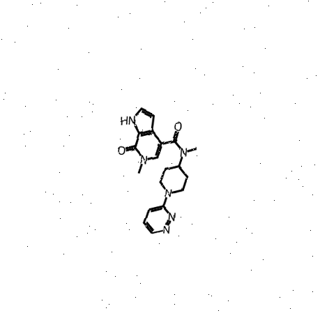 CN(C(=O)c1cn(C)c(=O)c2[nH]ccc12)C1CCN(c2cccnn2)CC1